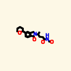 CC(CCC(=O)NC=O)N1Cc2cc(C3CCCCO3)ccc2C1=O